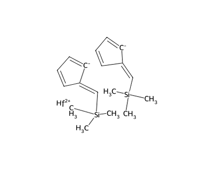 C[Si](C)(C)C=C1[C-]=CC=C1.C[Si](C)(C)C=C1[C-]=CC=C1.[Hf+2]